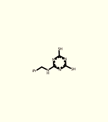 CC(C)CNc1nc(S)nc(S)n1